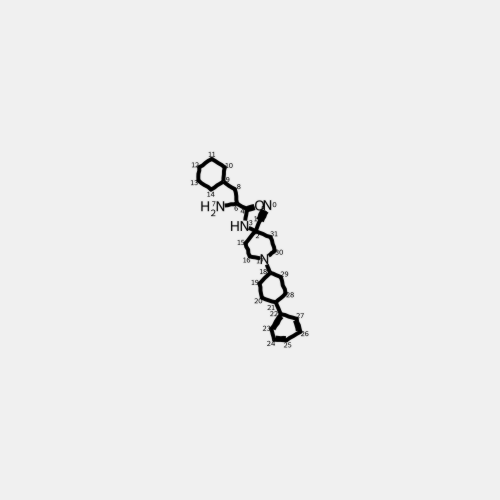 N#CC1(NC(=O)C(N)CC2CCCCC2)CCN(C2CCC(c3ccccc3)CC2)CC1